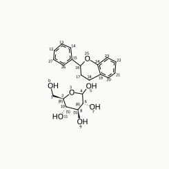 OC[C@H]1OC(O)[C@H](O)[C@@H](O)[C@@H]1O.c1ccc(C2CCc3ccccc3O2)cc1